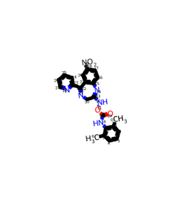 Cc1cccc(C)c1NC(=O)ONC1=Nc2ccc([N+](=O)[O-])cc2C(c2ccccn2)=NC1